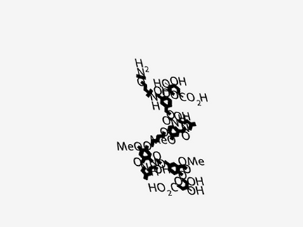 C=C1C[C@H]2C(O)N(C(=O)OCc3ccc(O[C@@H]4O[C@H](C(=O)O)C[C@H](O)[C@H]4O)c(C(=O)OC)c3)c3cc(OCCCCCOc4cc5c(cc4OC)C(=O)N4CC(=C)C[C@H]4C(O)N5C(=O)OCc4ccc(O[C@@H]5O[C@H](C(=O)O)C[C@H](O)[C@H]5O)c(C(O)NC(C)(C)CCOC(C)(C)N)c4)c(OC)cc3C(=O)N2C1